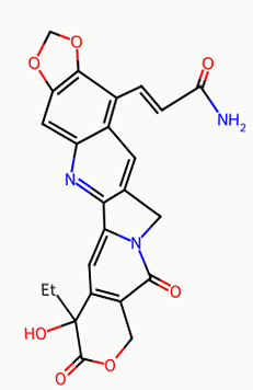 CCC1(O)C(=O)OCc2c1cc1n(c2=O)Cc2cc3c(C=CC(N)=O)c4c(cc3nc2-1)OCO4